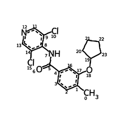 Cc1ccc(C(=O)Nc2c(Cl)cncc2Cl)cc1OC1CCCC1